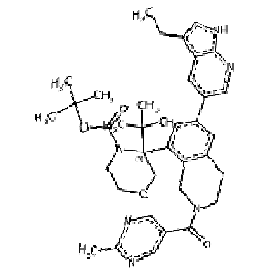 CCc1c[nH]c2ncc(-c3cc4c(c([C@]5(C(C)(C)C)COCCN5C(=O)OC(C)(C)C)c3)CN(C(=O)c3cnc(C)nc3)CC4)cc12